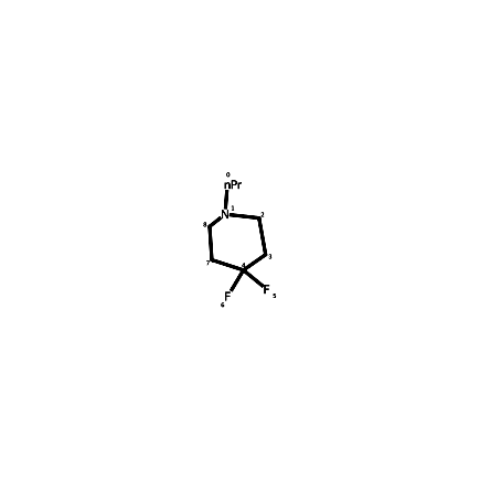 [CH2]CCN1CCC(F)(F)CC1